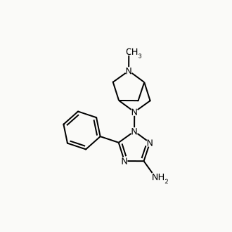 CN1CC2CC1CN2n1nc(N)nc1-c1ccccc1